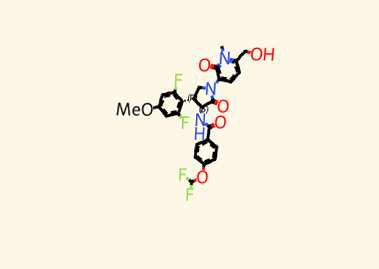 COc1cc(F)c([C@@H]2CN(c3ccc(CO)n(C)c3=O)C(=O)[C@H]2NC(=O)c2ccc(OC(F)F)cc2)c(F)c1